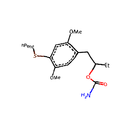 CCCCCSc1cc(OC)c(CC(CC)OC(N)=O)cc1OC